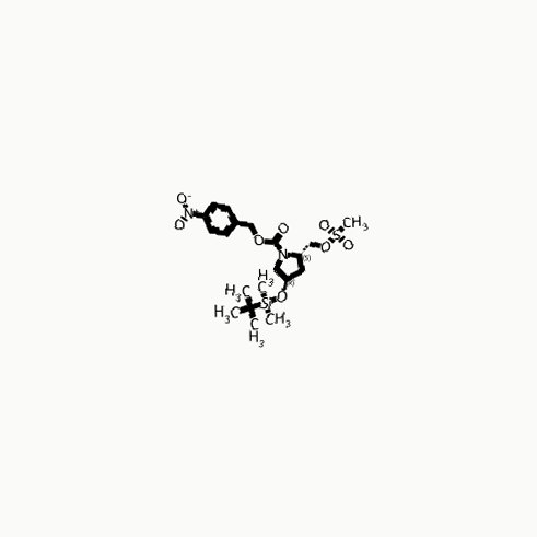 CC(C)(C)[Si](C)(C)O[C@@H]1C[C@@H](COS(C)(=O)=O)N(C(=O)OCc2ccc([N+](=O)[O-])cc2)C1